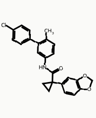 Cc1ccc(NC(=O)C2(c3ccc4c(c3)OCO4)CC2)cc1-c1ccc(Cl)cc1